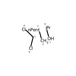 CC(C)O.CCCCCC.ClCCl